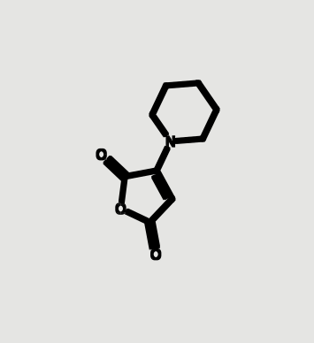 O=C1C=C(N2CCCCC2)C(=O)O1